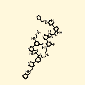 CN(C)CCNc1cc(F)cc(-c2cncc3[nH]c(-c4nn(CN(C)CCNc5cc(F)cc(-c6cncc7[nH]c(-c8n[nH]c9ccc(-c%10cncc(CNCC%11CCCC%11)c%10)cc89)nc67)c5)c5ccc(-c6cncc(CNCc7ccccc7)c6)cc45)nc23)c1